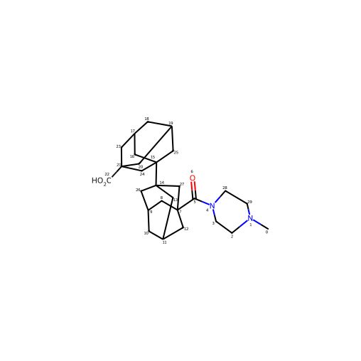 CN1CCN(C(=O)C23CC4CC(C2)CC(C25CC6CC(CC(C(=O)O)(C6)C2)C5)(C4)C3)CC1